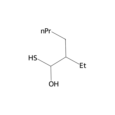 CCCCC(CC)C(O)S